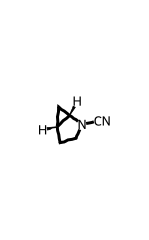 N#CN1CC[C@@H]2C[C@@H]21